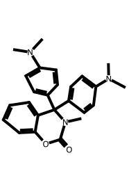 CN(C)c1ccc(C2(c3ccc(N(C)C)cc3)c3ccccc3OC(=O)N2C)cc1